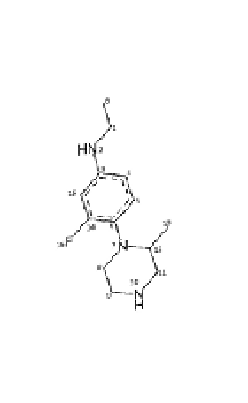 CCNc1ccc(N2CCNCC2C)c(F)c1